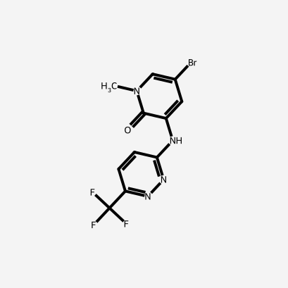 Cn1cc(Br)cc(Nc2ccc(C(F)(F)F)nn2)c1=O